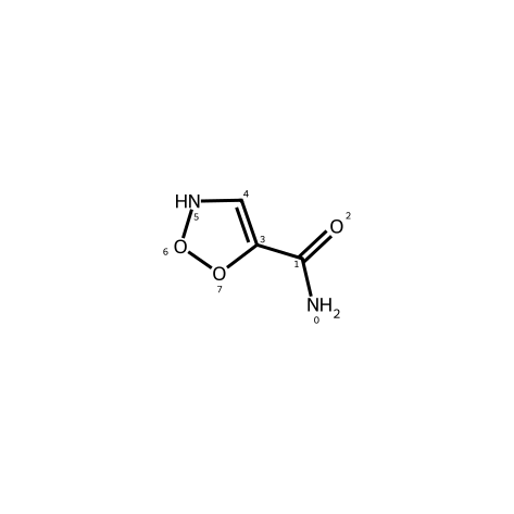 NC(=O)C1=CNOO1